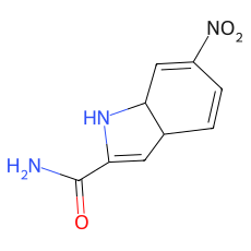 NC(=O)C1=CC2C=CC([N+](=O)[O-])=CC2N1